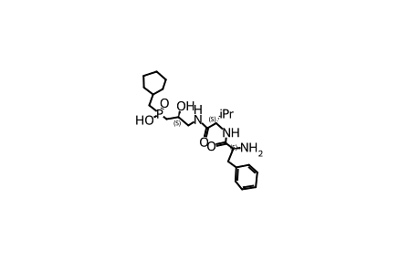 CC(C)[C@H](NC(=O)[C@@H](N)Cc1ccccc1)C(=O)NC[C@H](O)CP(=O)(O)CC1CCCCC1